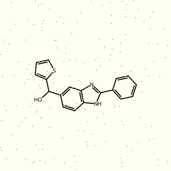 OC(c1ccc2[nH]c(-c3ccccc3)nc2c1)c1cccs1